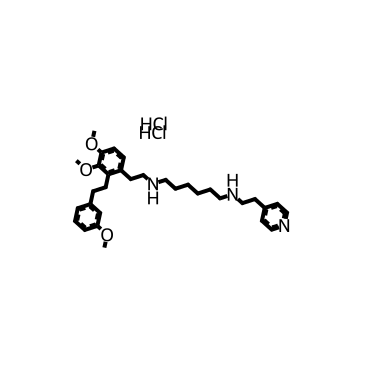 COc1cccc(CCc2c(CCNCCCCCCNCCc3ccncc3)ccc(OC)c2OC)c1.Cl.Cl